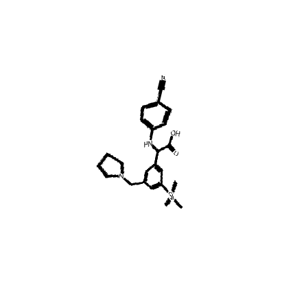 C[Si](C)(C)c1cc(CN2CCCC2)cc(C(Nc2ccc(C#N)cc2)C(=O)O)c1